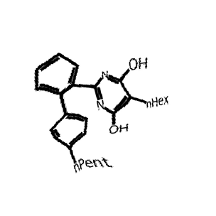 CCCCCCc1c(O)nc(-c2ccccc2-c2ccc(CCCCC)cc2)nc1O